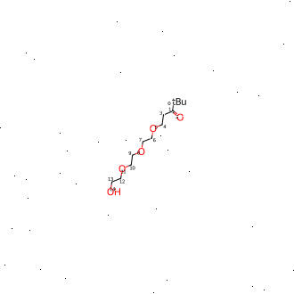 CC(C)(C)C(=O)CCOCCOCCOCCO